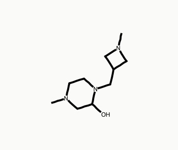 CN1CC(CN2CCN(C)CC2O)C1